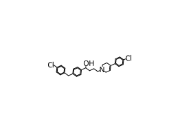 OC(CCCN1CC=C(c2ccc(Cl)cc2)CC1)c1ccc(Cc2ccc(Cl)cc2)cc1